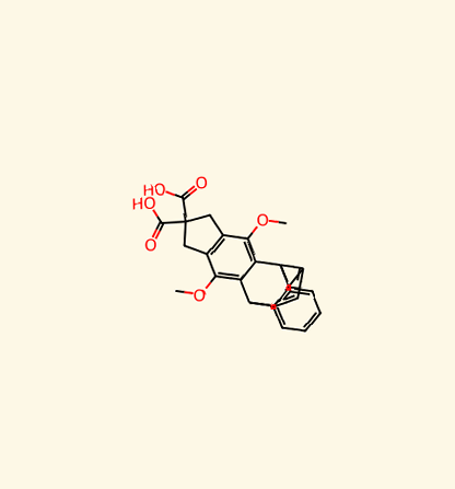 COc1c2c(c(OC)c3c1C1c4ccccc4C34c3cccc1c34)CC(C(=O)O)(C(=O)O)C2